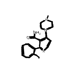 Cc1ccccc1-c1nccc(N2CCN(C)CC2)c1C(N)=O